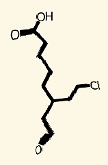 O=CCC(CCCl)CCCCC(=O)O